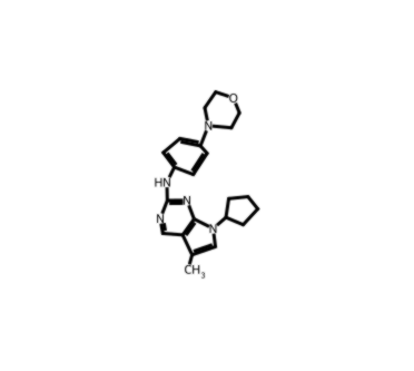 Cc1cn(C2CCCC2)c2nc(Nc3ccc(N4CCOCC4)cc3)ncc12